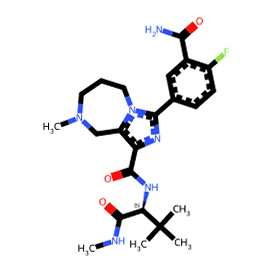 CNC(=O)[C@@H](NC(=O)c1nc(-c2ccc(F)c(C(N)=O)c2)n2c1CN(C)CCC2)C(C)(C)C